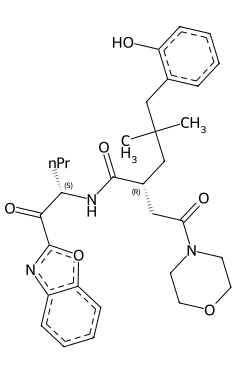 CCC[C@H](NC(=O)[C@@H](CC(=O)N1CCOCC1)CC(C)(C)Cc1ccccc1O)C(=O)c1nc2ccccc2o1